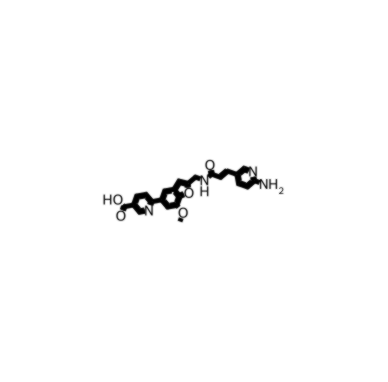 COc1cc(-c2ccc(C(=O)O)cn2)cc2cc(CNC(=O)/C=C/c3ccc(N)nc3)oc12